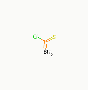 B[PH](=S)Cl